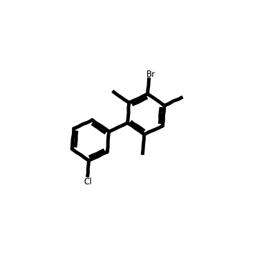 Cc1cc(C)c(-c2cccc(Cl)c2)c(C)c1Br